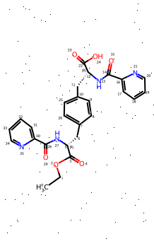 CCOC(=O)[C@@H](Cc1ccc(C[C@@H](NC(=O)c2ccccn2)C(=O)O)cc1)NC(=O)c1ccccn1